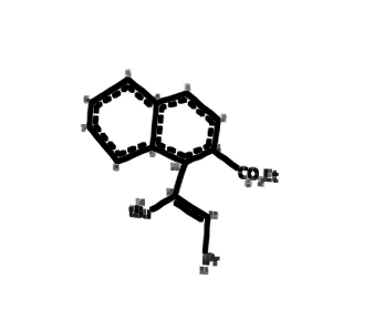 CCOC(=O)c1ccc2ccccc2c1/C(=C/C(C)C)C(C)(C)C